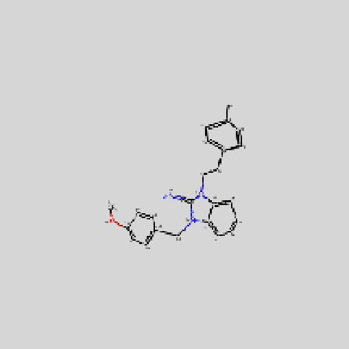 Cc1ccc(CCn2c(=N)n(Cc3ccc(OC(F)(F)F)cc3)c3ccccc32)cc1